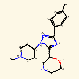 Cc1ccc(-c2nc(C3CNCCO3)n(C3CCN(C)CC3)n2)cc1